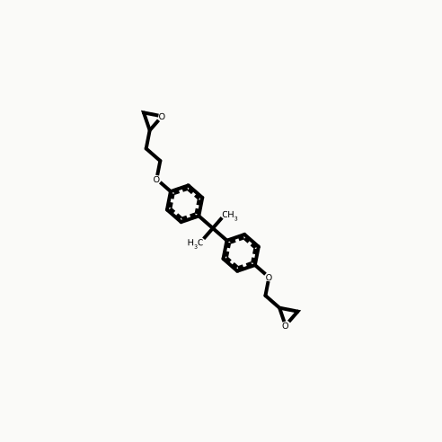 CC(C)(c1ccc(OCCC2CO2)cc1)c1ccc(OCC2CO2)cc1